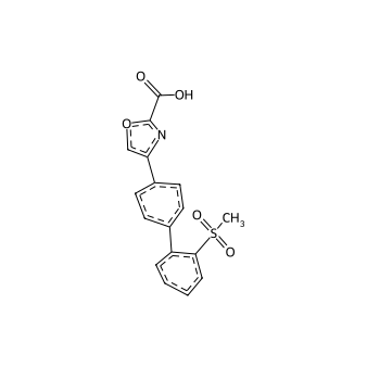 CS(=O)(=O)c1ccccc1-c1ccc(-c2coc(C(=O)O)n2)cc1